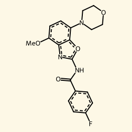 COc1ccc(N2CCOCC2)c2oc(NC(=O)c3ccc(F)cc3)nc12